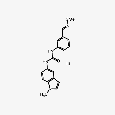 CSN=Cc1cccc(NC(=O)Nc2ccc3c(ccn3C)c2)c1.I